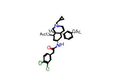 CC(=O)Oc1cccc([C@@]23CCN(CC4CC4)C[C@H]2C(OC(C)=O)C[C@@H](NC(=O)Cc2ccc(Cl)c(Cl)c2)C3)c1